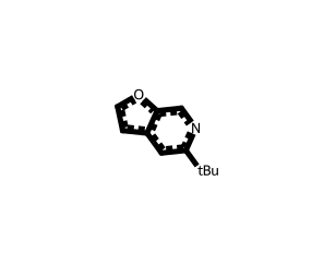 CC(C)(C)c1cc2ccoc2cn1